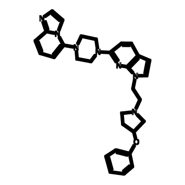 c1ccc(OC2CCN(CCn3ccc4ccc(N5CCN(c6cccc7nccn67)CC5)nc43)C2)cc1